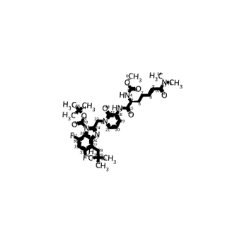 COC(=O)N[C@@H](CC/C=C/C(=O)N(C)C)C(=O)Nc1cccn(Cc2nc3c(CC(C)(C)C)c(F)cc(F)c3n2C(=O)OC(C)(C)C)c1=O